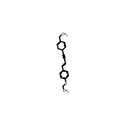 CCSc1ccc(/C=C/C#CC2C=CC(CC)=CC2)cc1